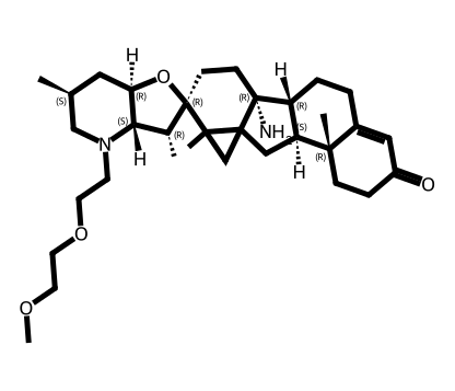 COCCOCCN1C[C@@H](C)C[C@H]2O[C@]3(CC[C@@]4(N)[C@@H]5CCC6=CC(=O)CC[C@]6(C)[C@H]5CC45CC53C)[C@H](C)[C@@H]21